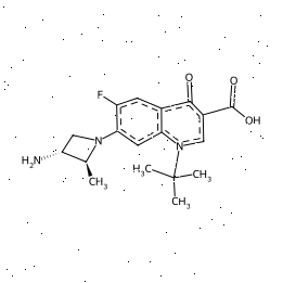 C[C@H]1[C@H](N)CN1c1cc2c(cc1F)c(=O)c(C(=O)O)cn2C(C)(C)C